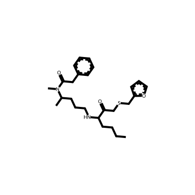 CCCCC(NCCCC(C)N(C)C(=O)Cc1ccccc1)C(=O)CSCc1ccco1